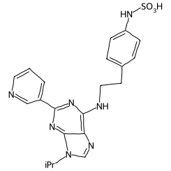 CC(C)n1cnc2c(NCCc3ccc(NS(=O)(=O)O)cc3)nc(-c3cccnc3)nc21